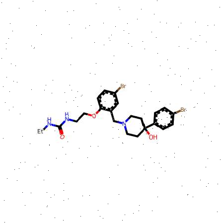 CCNC(=O)NCCOc1ccc(Br)cc1CN1CCC(O)(c2ccc(Br)cc2)CC1